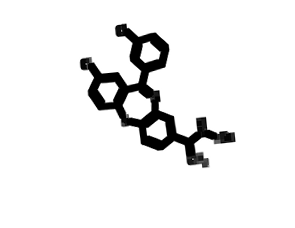 C=C(NCCCC)c1ccc2c(c1)N=C(c1cccc(Cl)c1)c1cc(Cl)ccc1S2